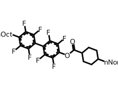 CCCCCCCCCC1CCC(C(=O)Oc2c(F)c(F)c(-c3c(F)c(F)c(CCCCCCCC)c(F)c3F)c(F)c2F)CC1